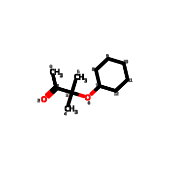 CC(=O)C(C)(C)OC1CCCCC1